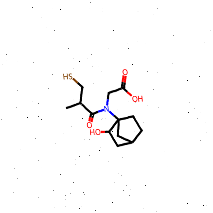 CC(CS)C(=O)N(CC(=O)O)C12CCC(CC1O)C2